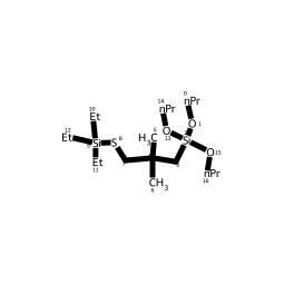 CCCO[Si](CC(C)(C)CS[Si](CC)(CC)CC)(OCCC)OCCC